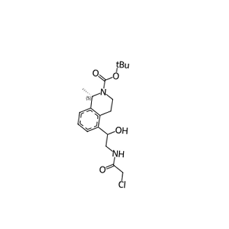 C[C@H]1c2cccc(C(O)CNC(=O)CCl)c2CCN1C(=O)OC(C)(C)C